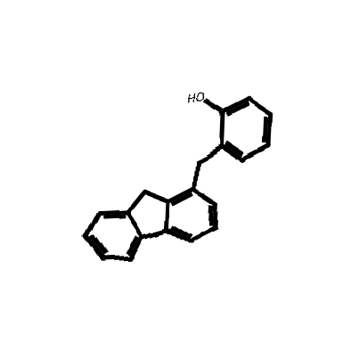 Oc1ccccc1Cc1cccc2c1Cc1ccccc1-2